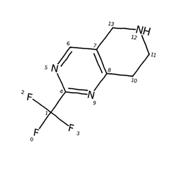 FC(F)(F)c1ncc2c(n1)CCNC2